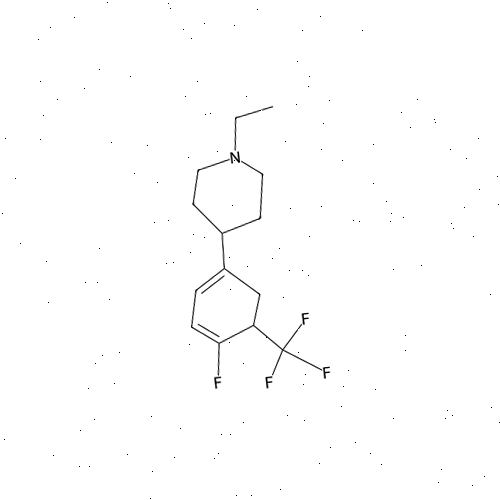 CCN1CCC(C2=CC=C(F)C(C(F)(F)F)C2)CC1